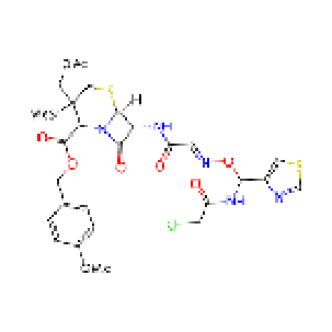 COc1ccc(COC(=O)C2N3C(=O)[C@@H](NC(=O)C=NOC(NC(=O)CCl)c4cscn4)[C@@H]3SCC2(COC(C)=O)SC)cc1